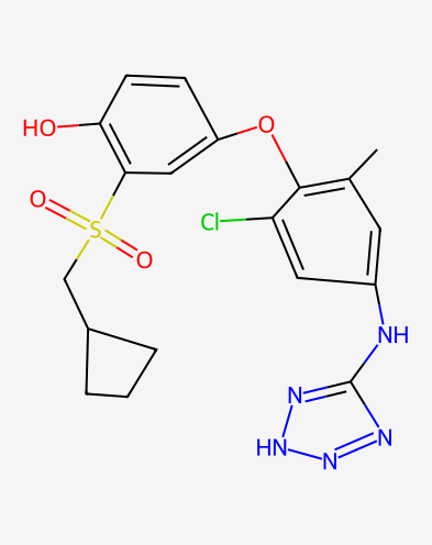 Cc1cc(Nc2nn[nH]n2)cc(Cl)c1Oc1ccc(O)c(S(=O)(=O)CC2CCC2)c1